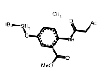 C.COC(=O)c1cc(O[SiH2]C(C)(C)C)ccc1NC(=O)CC(C)=O